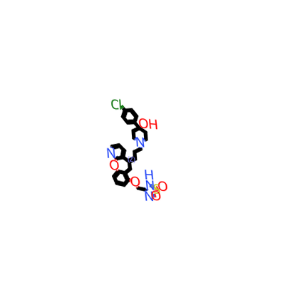 O=S1NC(COc2cccc3c2C/C(=C/CCN2CCC(O)(c4ccc(Cl)cc4)CC2)c2cccnc2O3)=NO1